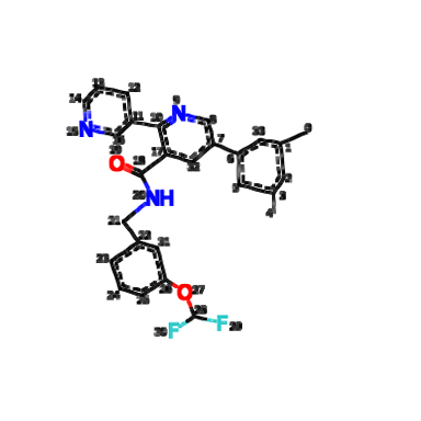 Cc1cc(C)cc(-c2cnc(-c3cccnc3)c(C(=O)NCc3cccc(OC(F)F)c3)c2)c1